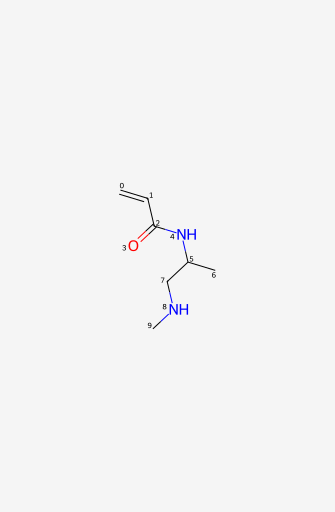 C=CC(=O)NC(C)CNC